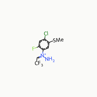 CSc1cc([N+](N)=CC(F)(F)F)c(F)cc1Cl